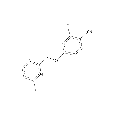 Cc1ccnc(COc2ccc(C#N)c(F)c2)n1